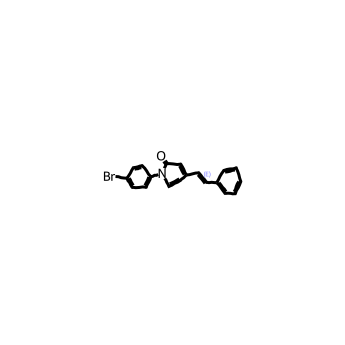 O=c1cc(/C=C/c2ccccc2)ccn1-c1ccc(Br)cc1